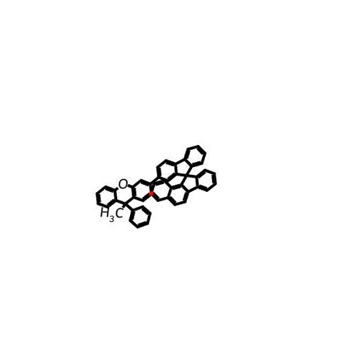 CC1(c2ccccc2)c2ccccc2Oc2cc(-c3ccc4c(c3)C3(c5ccccc5-4)c4ccccc4-c4ccc5ccccc5c43)ccc21